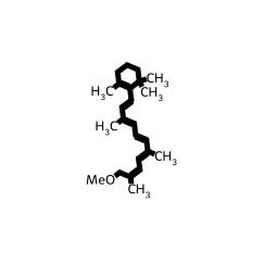 COCC(C)=CC=C(C)C=CC=C(C)C=CC1=C(C)CCCC1(C)C